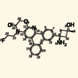 C[C@]1(O)C[C@@](N)(c2ccc(-c3nc4c(cc3-c3ccccc3)N(CCF)C(=O)CO4)cc2)C1